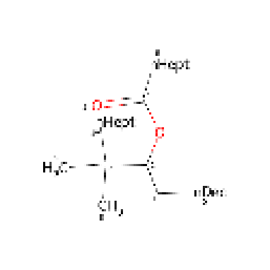 CCCCCCCCCCCC(OC(=O)CCCCCCC)C(C)(C)CCCCCCC